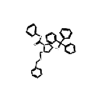 O=C(Oc1ccccc1)N1C[C@H](SC(c2ccccc2)(c2ccccc2)c2ccccc2)C[C@H]1COCc1ccccc1